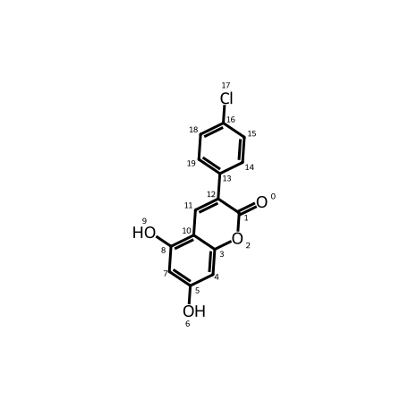 O=c1oc2cc(O)cc(O)c2cc1-c1ccc(Cl)cc1